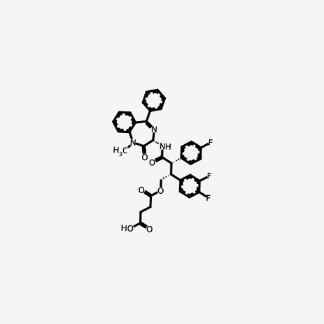 CN1C(=O)[C@@H](NC(=O)[C@H](c2ccc(F)cc2)[C@@H](COC(=O)CCC(=O)O)c2ccc(F)c(F)c2)N=C(c2ccccc2)c2ccccc21